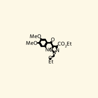 CCOCn1nc(C(=O)OCC)c(C(=O)c2cc(OC)c(OC)cc2[N+](=O)[O-])n1